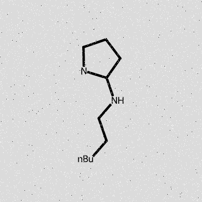 CCCCCCNC1CCC[N]1